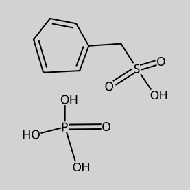 O=P(O)(O)O.O=S(=O)(O)Cc1ccccc1